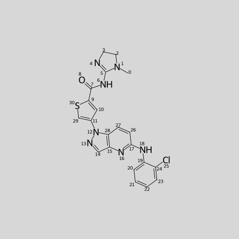 CN1CCN=C1NC(=O)c1cc(-n2ncc3nc(Nc4ccccc4Cl)ccc32)cs1